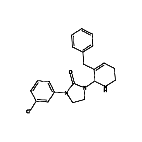 O=C1N(c2cccc(Cl)c2)CCN1C1NCCC=C1Cc1ccccc1